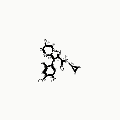 Cc1cc(Cl)c(F)cc1-c1c(C(=O)NC2CC2)nn2cc(F)cnc12